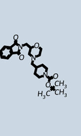 CC(C)(C)OC(=O)N1CCC(CN2CCOC(CN3C(=O)c4ccccc4C3=O)C2)CC1